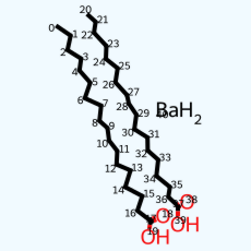 CCCCCCCCCCCCCCCCCC(=O)O.CCCCCCCCCCCCCCCCCC(=O)O.[BaH2]